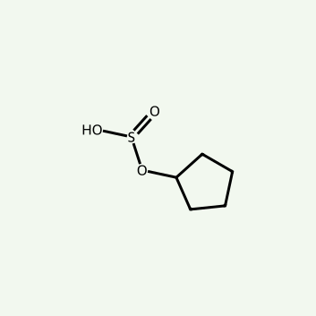 O=S(O)OC1CCCC1